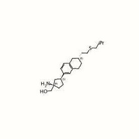 CC(C)CSCC[C@@H]1CCc2cc([C@H]3CC[C@](N)(CO)C3)ccc2C1